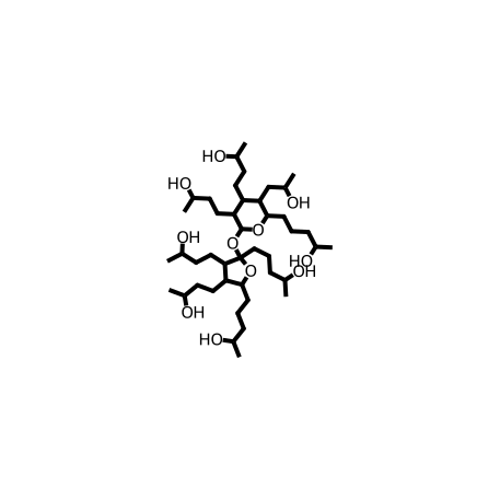 CC(O)CCCC1OC(OC2(CCCC(C)O)OC(CCCC(C)O)C(CCC(C)O)C2CCC(C)O)C(CCC(C)O)C(CCC(C)O)C1CC(C)O